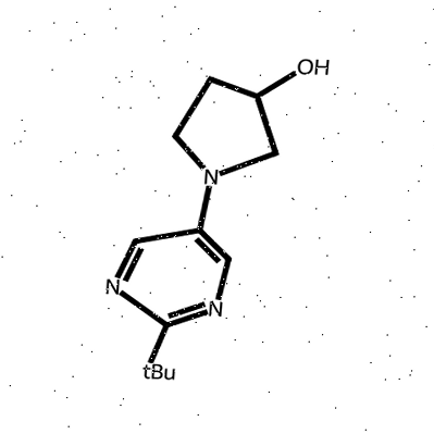 CC(C)(C)c1ncc(N2CCC(O)C2)cn1